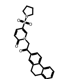 O=C(Cn1cc(S(=O)(=O)N2CCCC2)ccc1=O)c1ccc2c(c1)CCc1ccccc1-2